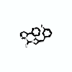 O=C(N1CC(=Cc2cccc(F)c2)C1)N1N=CCC1c1ccccc1